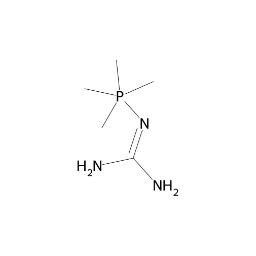 CP(C)(C)(C)N=C(N)N